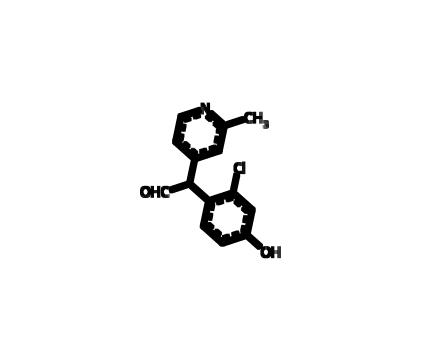 Cc1cc(C(C=O)c2ccc(O)cc2Cl)ccn1